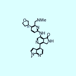 CNCc1nc(Nc2cnc(-c3ccnc4c3ccn4C)c3c2C(=O)NC3)ccc1[C@H]1CCOC1